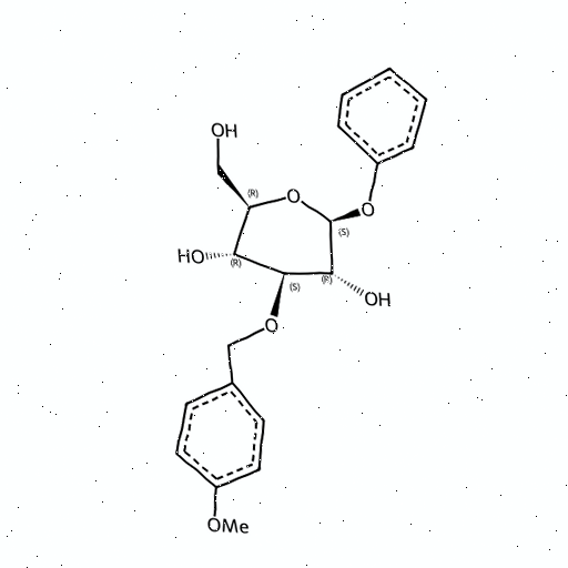 COc1ccc(CO[C@@H]2[C@@H](O)[C@H](Oc3ccccc3)O[C@H](CO)[C@H]2O)cc1